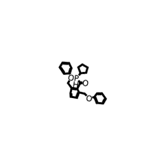 O=C(PC1CCCC1)c1c(COc2ccccc2)cccc1COc1ccccc1